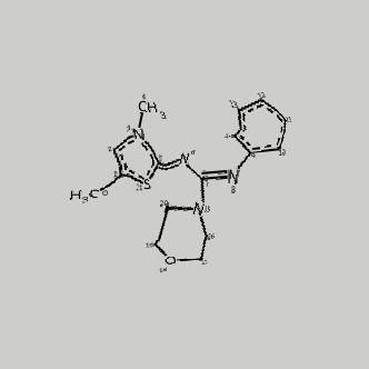 Cc1cn(C)c(=NC(=Nc2ccccc2)N2CCOCC2)s1